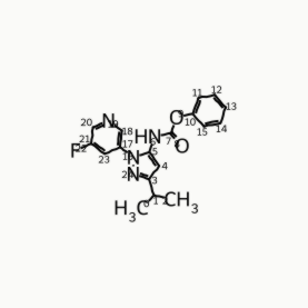 CC(C)c1cc(NC(=O)Oc2ccccc2)n(-c2cncc(F)c2)n1